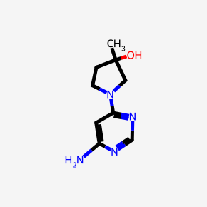 CC1(O)CCN(c2cc(N)ncn2)C1